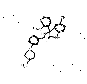 CCOc1ncccc1C1(NCc2cccc(N3CCN(C)CC3)c2)C(=O)Nc2ccc(C#N)cc21